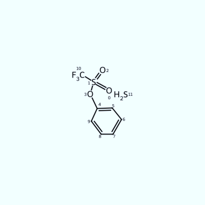 O=S(=O)(Oc1ccccc1)C(F)(F)F.S